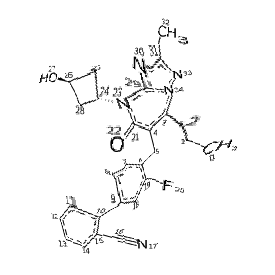 CCCc1c(Cc2ccc(-c3ccccc3C#N)cc2F)c(=O)n([C@H]2C[C@H](O)C2)c2nc(C)nn12